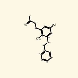 CC(=O)OCc1cc(Cl)cc(SCc2ccccc2)c1Cl